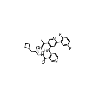 C=C(C)c1cnc(-c2cc(F)ccc2F)cc1Nc1ccncc1C(=O)NC[C@@H](O)CC1CCC1